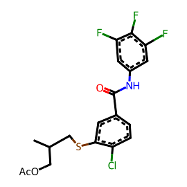 CC(=O)OCC(C)CSc1cc(C(=O)Nc2cc(F)c(F)c(F)c2)ccc1Cl